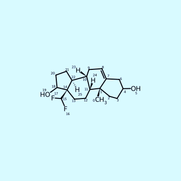 C[C@]12CCC(O)CC1=CC[C@@H]1[C@H]2CC[C@]2(C(F)F)C(O)CC[C@@H]12